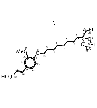 CCO[Si](CCCCCCCCOc1ccc(C=CC(=O)O)cc1OC)(OCC)OCC